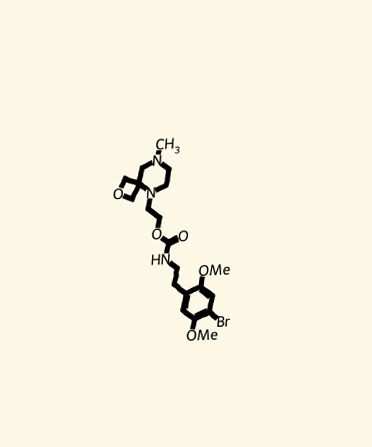 COc1cc(CCNC(=O)OCCN2CCN(C)CC23COC3)c(OC)cc1Br